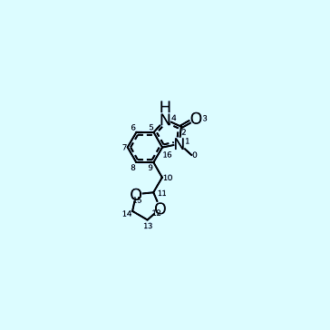 Cn1c(=O)[nH]c2cccc(CC3OCCO3)c21